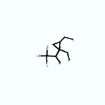 CCC1CC1(CC)C(C)C(F)(F)F